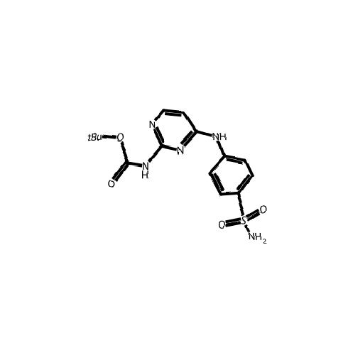 CC(C)(C)OC(=O)Nc1nccc(Nc2ccc(S(N)(=O)=O)cc2)n1